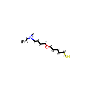 CC(C)CN(C)CCCCOCCCCCS